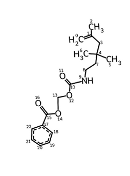 C=C(C)CC(C)(C)CCNC(=O)OCOC(=O)c1ccccc1